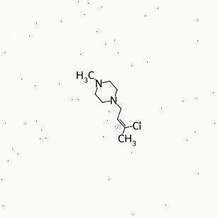 C/C(Cl)=C/CN1CCN(C)CC1